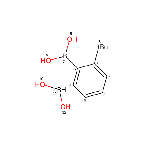 CC(C)(C)c1ccccc1B(O)O.OBO